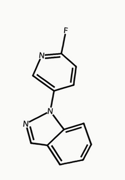 Fc1ccc(-n2ncc3ccccc32)cn1